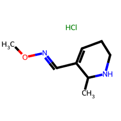 CON=CC1=CCCNC1C.Cl